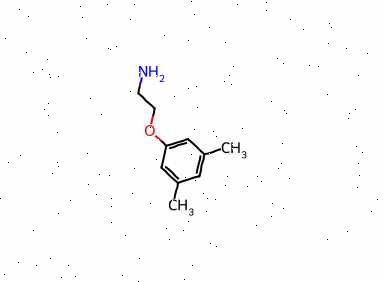 Cc1cc(C)cc(OCCN)c1